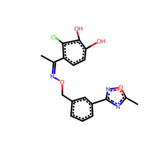 CC(=NOCc1cccc(-c2noc(C)n2)c1)c1ccc(O)c(O)c1Cl